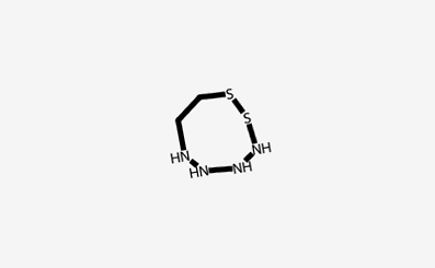 C1CSSNNNN1